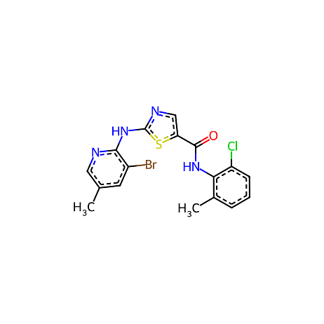 Cc1cnc(Nc2ncc(C(=O)Nc3c(C)cccc3Cl)s2)c(Br)c1